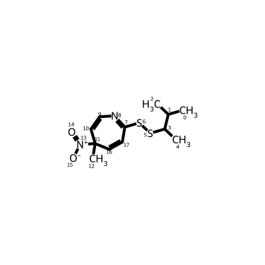 CC(C)C(C)SSC1=NC=CC(C)([N+](=O)[O-])C=C1